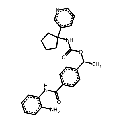 C[C@H](OC(=O)NC1(c2cccnc2)CCCC1)c1ccc(C(=O)Nc2ccccc2N)cc1